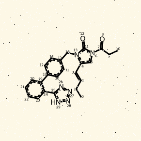 CCC=Cc1cn(C(=O)CC)c(=O)n1Cc1ccc(-c2ccccc2-c2nnn[nH]2)cc1